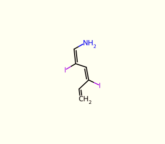 C=C/C(I)=C\C(I)=C/N